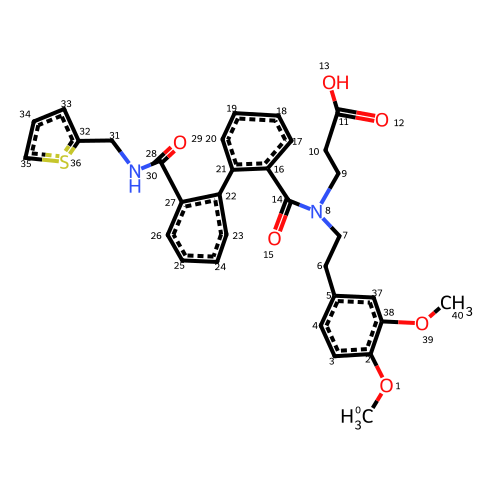 COc1ccc(CCN(CCC(=O)O)C(=O)c2ccccc2-c2ccccc2C(=O)NCc2cccs2)cc1OC